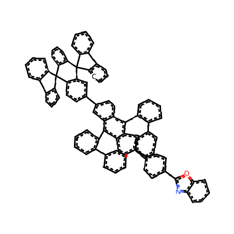 c1ccc(-c2ccccc2-c2c3ccc(-c4ccc5c(c4)C4(c6ccccc6-c6ccccc64)c4ccccc4C54c5ccccc5-c5ccccc54)cc3c(-c3ccccc3-c3ccccc3)c3ccc(-c4ccc(-c5nc6ccccc6o5)cc4)cc23)cc1